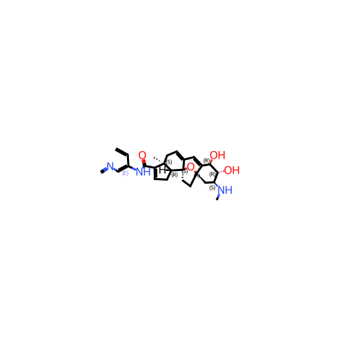 C=C/C(=C\N=C)NC(=O)C1=CC[C@@H]2[C@]1(C)CC=C1C=C3[C@@H](O)[C@H](O)[C@@H](NC)C[C@]34CC[C@@]12O4